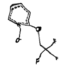 [O-][n+]1ccccc1OCC(F)(F)F